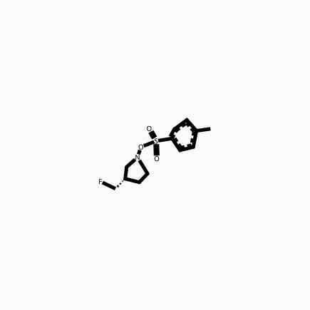 Cc1ccc(S(=O)(=O)ON2CC[C@H](CF)C2)cc1